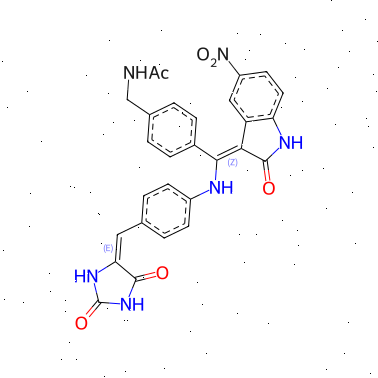 CC(=O)NCc1ccc(/C(Nc2ccc(/C=C3/NC(=O)NC3=O)cc2)=C2/C(=O)Nc3ccc([N+](=O)[O-])cc32)cc1